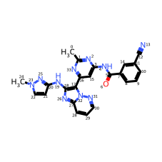 Cc1nc(NC(=O)c2cccc(C#N)c2)cc(-c2c(Nc3ccn(C)n3)nc3cccnn23)n1